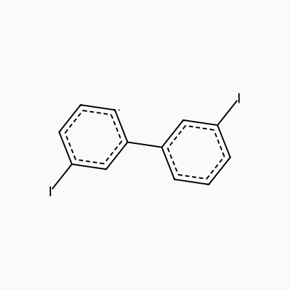 Ic1cc[c]c(-c2cccc(I)c2)c1